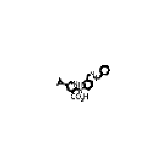 O=C(O)c1cc(C2CC2)cnc1Nc1ccc2c(cnn2CC2CCCCC2)c1